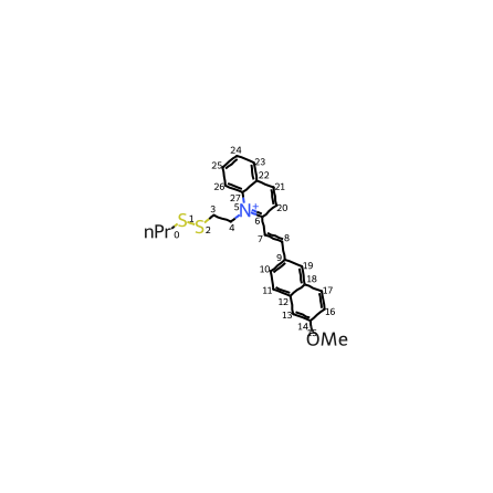 CCCSSCC[n+]1c(/C=C/c2ccc3cc(OC)ccc3c2)ccc2ccccc21